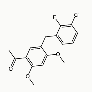 COc1cc(OC)c(C(C)=O)cc1Cc1cccc(Cl)c1F